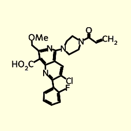 C=CC(=O)N1CCN(c2nc(COC)c(C(=O)O)c3nc(-c4ccccc4F)c(Cl)cc23)CC1